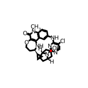 Cn1c(=O)c2c(c3cc(Nc4nc(N5[C@@H]6CC[C@H]5CC(O)C6)ncc4Cl)ccc31)N[C@@H](C1CC1)CCO2